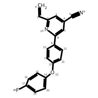 C=Cc1cc(C#N)cc(-c2ccc(Oc3ccc(F)cc3)cc2)n1